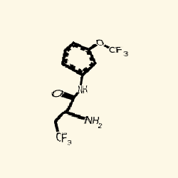 NC(CC(F)(F)F)C(=O)Nc1cccc(OC(F)(F)F)c1